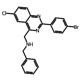 Clc1ccc2nc(-c3ccc(Br)cc3)nc(CNCc3ccccc3)c2c1